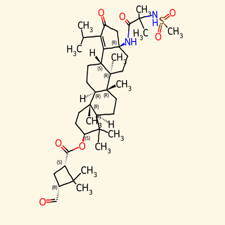 CC(C)C1=C2[C@H]3CC[C@@H]4[C@@]5(C)CC[C@H](OC(=O)[C@H]6C[C@@H](C=O)C6(C)C)C(C)(C)[C@@H]5CC[C@@]4(C)[C@]3(C)CC[C@@]2(NC(=O)C(C)(C)NS(C)(=O)=O)CC1=O